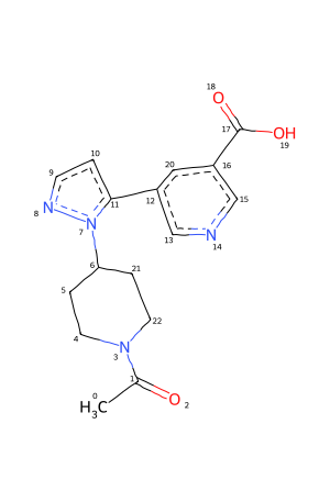 CC(=O)N1CCC(n2nccc2-c2cncc(C(=O)O)c2)CC1